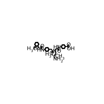 Cc1ccccc1NC(=O)Nc1ccc(CC(=O)N(CC(=O)Nc2ccc(C(=O)O)cc2)CC(C)(C)CN)cc1